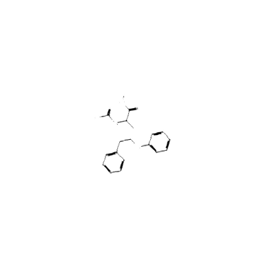 COC(=O)C(C[C@@H](Cc1ccccc1)Sc1ccccc1)NC(=O)O